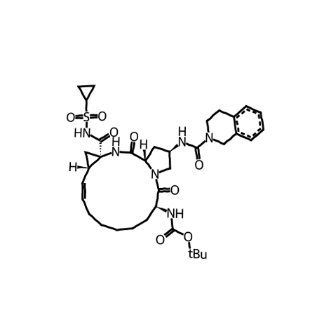 CC(C)(C)OC(=O)N[C@H]1CCCCC/C=C\[C@@H]2C[C@@]2(C(=O)NS(=O)(=O)C2CC2)NC(=O)[C@@H]2C[C@@H](NC(=O)N3CCc4ccccc4C3)CN2C1=O